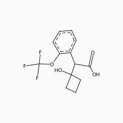 O=C(O)C(c1ccccc1OC(F)(F)F)C1(O)CCC1